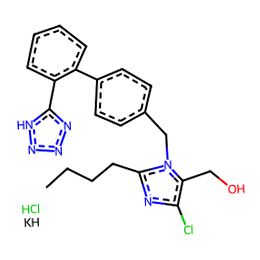 CCCCc1nc(Cl)c(CO)n1Cc1ccc(-c2ccccc2-c2nnn[nH]2)cc1.Cl.[KH]